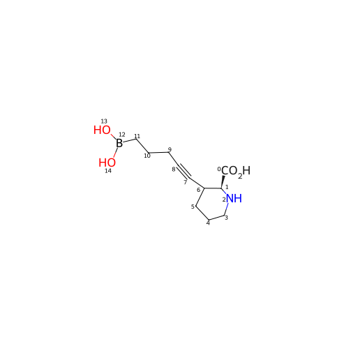 O=C(O)[C@H]1NCCCC1C#CCCCB(O)O